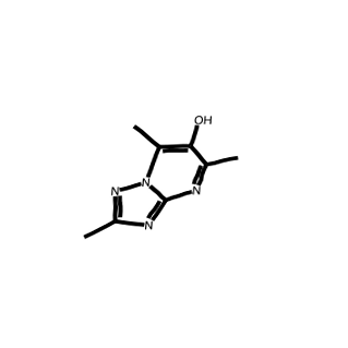 Cc1nc2nc(C)c(O)c(C)n2n1